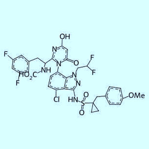 COc1ccc(CC2(S(=O)(=O)Nc3nn(CC(F)F)c4c(-n5c(C(Cc6cc(F)cc(F)c6)NC(=O)O)nc(O)cc5=O)ccc(Cl)c34)CC2)cc1